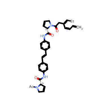 C=C/C=C\C(=C/CC)CC(=O)N1CC=C[C@H]1C(=O)Nc1ccc(/C=C/c2ccc(NC(=O)[C@@H]3C=CCN3C(C)=O)cc2)cc1